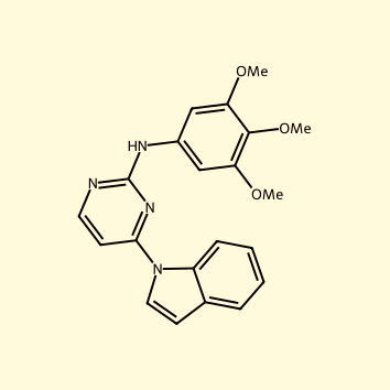 COc1cc(Nc2nccc(-n3ccc4ccccc43)n2)cc(OC)c1OC